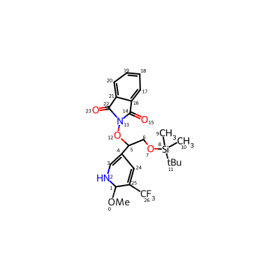 COC1NC=C(C(CO[Si](C)(C)C(C)(C)C)ON2C(=O)c3ccccc3C2=O)C=C1C(F)(F)F